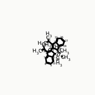 CC1=C(C(C)C)c2ccccc2[CH]1[Zr]([CH3])([CH3])([SiH3])[CH]1C(C)=C(C(C)C)c2ccccc21